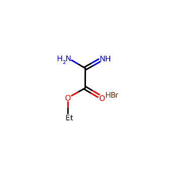 Br.CCOC(=O)C(=N)N